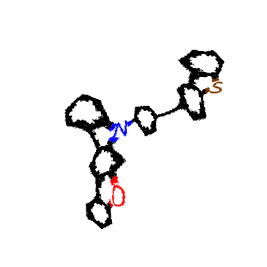 c1ccc2c(c1)oc1cc3c(cc12)c1ccccc1n3-c1ccc(-c2ccc3sc4ccccc4c3c2)cc1